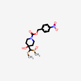 CSC([S+](C)[O-])C1(O)CCN(C(=O)OCc2ccc([N+](=O)[O-])cc2)CC1